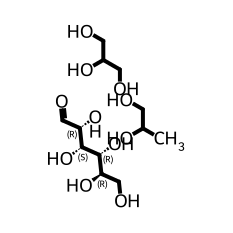 CC(O)CO.O=C[C@H](O)[C@@H](O)[C@H](O)[C@H](O)CO.OCC(O)CO